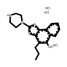 CCCc1c(O)c2ccccc2c2nc(N3CCNCC3)sc12.Cl.Cl.Cl